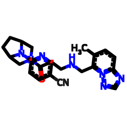 Cc1ccc2ncnn2c1CNCCC(=O)N1CC2CCC(C1)N2c1ccc(C#N)cn1